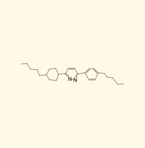 CCCCCc1ccc(-c2ccc(C3CCC(CCCCC)CC3)nn2)cc1